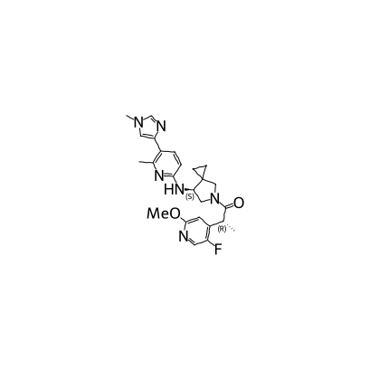 COc1cc([C@@H](C)C(=O)N2C[C@@H](Nc3ccc(-c4cn(C)cn4)c(C)n3)C3(CC3)C2)c(F)cn1